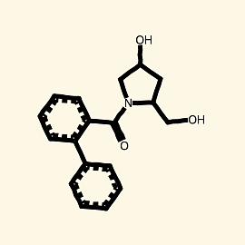 O=C(c1ccccc1-c1ccccc1)N1CC(O)CC1CO